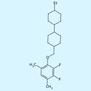 CCC1CCC(C2CCC(COc3c(C)cc(C)c(F)c3F)CC2)CC1